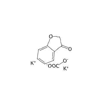 O=C([O-])[O-].O=C1COc2ccccc21.[K+].[K+]